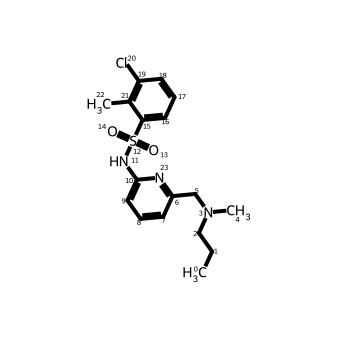 CCCN(C)Cc1cccc(NS(=O)(=O)c2cccc(Cl)c2C)n1